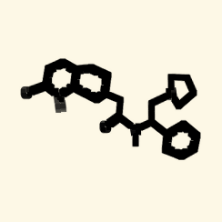 CN(C(=O)Cc1ccc2ccc(=O)[nH]c2c1)C(CN1CCCC1)c1ccccc1